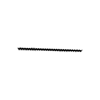 CCCCCCCCCCCCCCCCCCCCCCCCCCCCCCCCCCCCCCCCCCCCCCCCCCCCCCCCC